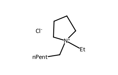 CCCCCC[N+]1(CC)CCCC1.[Cl-]